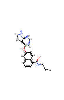 CCCNC(=O)c1cccc2cc(Oc3ncnc4[nH]ccc34)ccc12